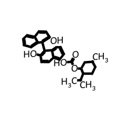 CC1CCC(C(C)C)C(OC(=O)O)C1.Oc1ccc2ccccc2c1-c1c(O)ccc2ccccc12